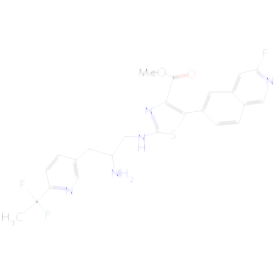 COC(=O)c1nc(NCC(N)Cc2ccc(C(C)(F)F)nc2)sc1-c1ccc2cnc(F)cc2c1